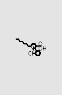 CCCCCCCc1ccc(C(=O)O)c(-c2ccccc2Cl)n1